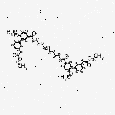 CCOC(=O)Cc1cccc(-c2cc(C(=O)CCCCCOCCCCCC(=O)c3ccc(OC)c(-c4cccc(CC(=O)OCC)c4)c3)ccc2OC)c1